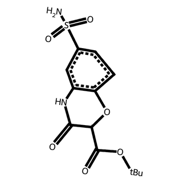 CC(C)(C)OC(=O)[C]1Oc2ccc(S(N)(=O)=O)cc2NC1=O